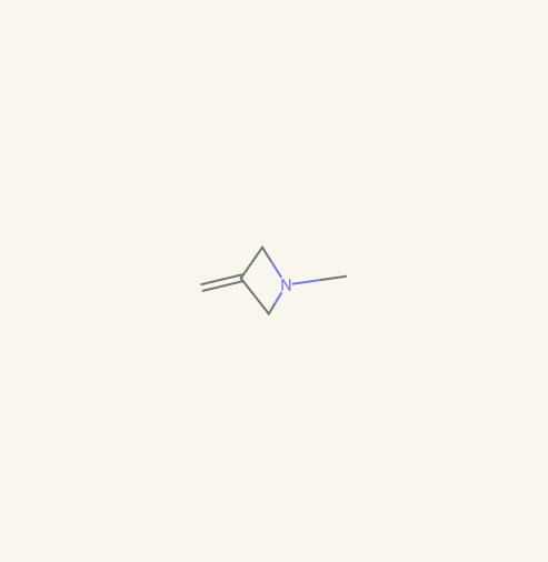 C=C1CN(C)C1